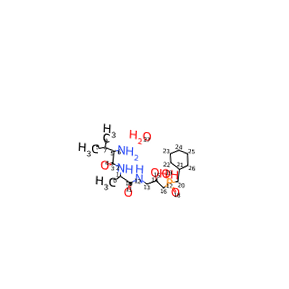 CC(NC(=O)C(N)C(C)C)C(=O)NCC(O)CP(=O)(O)CC1CCCCC1.O